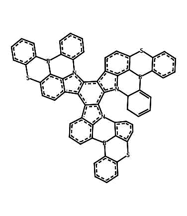 C1=CCC2C(=C1)B1c3ccccc3Sc3ccc4c5c6c(c7ccc8c9c7n6-c6ccccc6B9c6ccccc6S8)c6c7cccc8c7n(c6c5n2c4c31)-c1cccc2c1B8c1ccccc1S2